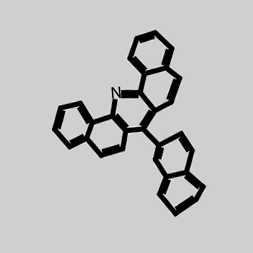 c1ccc2cc(-c3c4ccc5ccccc5c4nc4c3ccc3ccccc34)ccc2c1